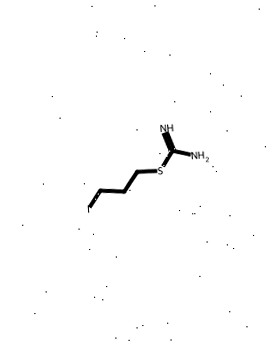 N=C(N)SCCCI